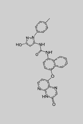 Cc1ccc(-n2nc(O)cc2NC(=O)Nc2ccc(Oc3ccnc4[nH]c(=O)cnc34)c3ccccc23)cc1